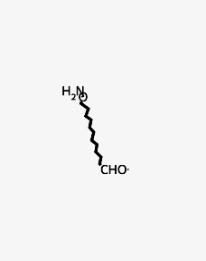 NOCCCCCCCCCCC[C]=O